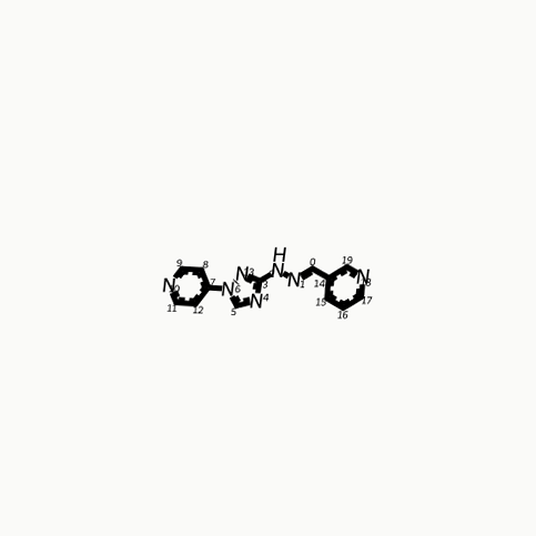 C(=NNc1ncn(-c2ccncc2)n1)c1cccnc1